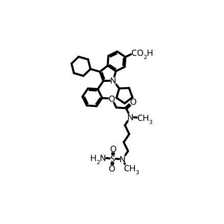 CN(CCCCN(C)S(N)(=O)=O)C(=O)COc1ccccc1-c1c(C2CCCCC2)c2ccc(C(=O)O)cc2n1C1CCCC1